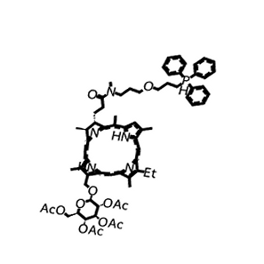 CCC1=C(C)c2cc3[nH]c(cc4nc(c(C)c5cc(C)c(cc1n2)[nH]5)[C@@H](CCC(=O)N(C)CCCOCCC[PH](c1ccccc1)(c1ccccc1)c1ccccc1)[C@@H]4C)c(C)c3CO[C@@H]1O[C@H](COC(C)=O)[C@@H](OC(C)=O)[C@H](OC(C)=O)[C@H]1OC(C)=O